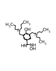 CCCN(CCC)Cc1cc(C(=N)NO)cc(CN(CCC)CCC)c1O